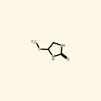 O=C1N[CH]C(OC(F)(F)F)N1